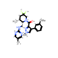 COc1cccc(-c2cn(C)nc2C(=O)N2CC(F)(F)C[C@@H](C)[C@H]2CNc2ncc(C(F)(F)F)cn2)c1